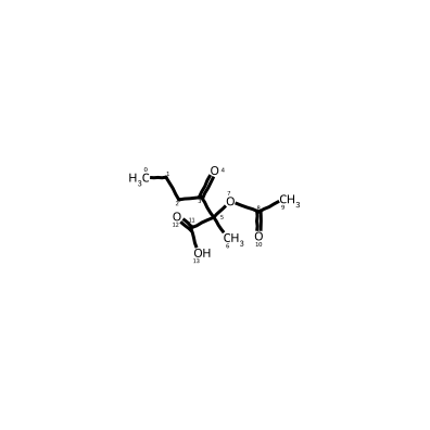 CCCC(=O)C(C)(OC(C)=O)C(=O)O